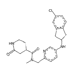 CN(Cc1ccc(NC2Cc3ccc(Cl)cc3C2)cn1)C(=O)C1CCNC(=O)C1